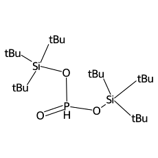 CC(C)(C)[Si](O[PH](=O)O[Si](C(C)(C)C)(C(C)(C)C)C(C)(C)C)(C(C)(C)C)C(C)(C)C